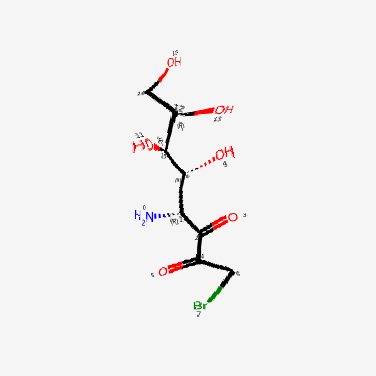 N[C@@H](C(=O)C(=O)CBr)[C@@H](O)[C@@H](O)[C@H](O)CO